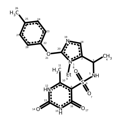 CCn1c(C(C)NS(=O)(=O)c2c(C)[nH]c(=O)[nH]c2=O)cnc1Oc1ccc(C)cc1